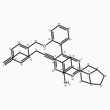 C#CCCCC#Cc1cnc(N2C3CCC2CN(c2cc(-c4ccccc4OCc4ccccc4)nnc2N)C3)nc1